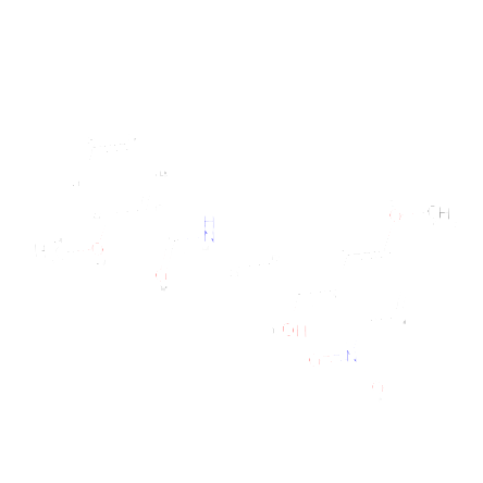 COc1ccc([N+](=O)[O-])c(C(O)CCNC(=O)c2ccccc2OC)c1